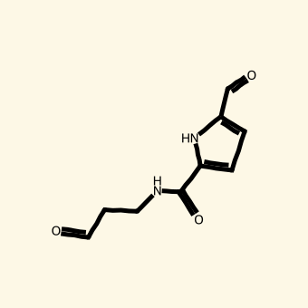 O=CCCNC(=O)c1ccc(C=O)[nH]1